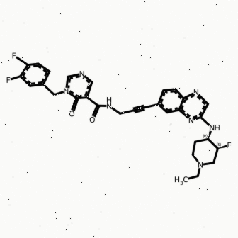 CCN1CC[C@@H](Nc2cnc3ccc(C#CCNC(=O)c4cncn(Cc5ccc(F)c(F)c5)c4=O)cc3n2)[C@@H](F)C1